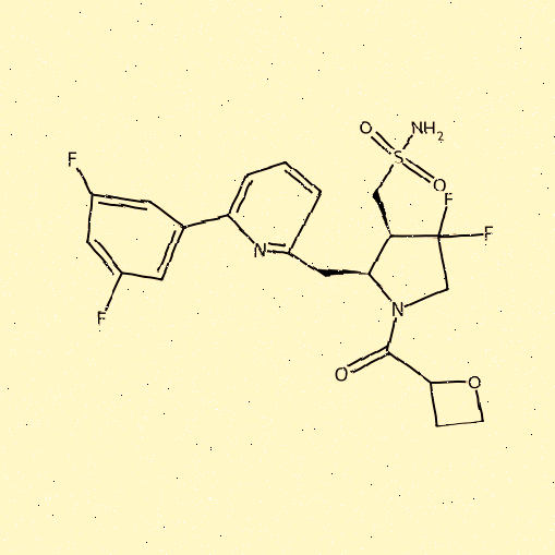 NS(=O)(=O)C[C@@H]1[C@H](Cc2cccc(-c3cc(F)cc(F)c3)n2)N(C(=O)C2CCO2)CC1(F)F